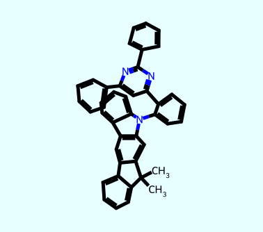 CC1(C)c2ccccc2-c2cc3c4ccccc4n(-c4ccccc4-c4cc(-c5ccccc5)nc(-c5ccccc5)n4)c3cc21